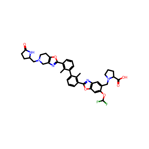 Cc1c(-c2nc3c(o2)CCN(CC2CCC(=O)N2)C3)cccc1-c1cccc(-c2nc3cc(CN4CCCC4C(=O)O)c(OC(F)F)cc3o2)c1C